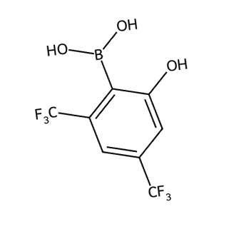 OB(O)c1c(O)cc(C(F)(F)F)cc1C(F)(F)F